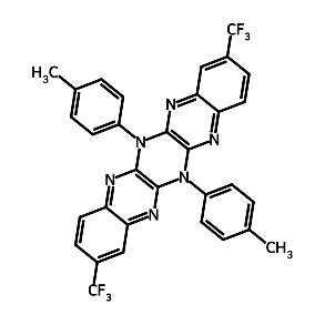 Cc1ccc(N2c3nc4ccc(C(F)(F)F)cc4nc3N(c3ccc(C)cc3)c3nc4ccc(C(F)(F)F)cc4nc32)cc1